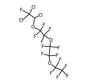 FC(Cl)(Cl)C(Cl)OC(F)(F)C(F)(F)OC(F)(F)C(F)(F)OC(F)(F)C(F)(F)F